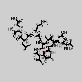 CC(C)C[C@H](NC(=O)[C@H](CCCCN)NC(=O)[C@H](CCC(=O)O)NC(=O)[C@H](CC(C)C)NC(=O)[C@@H](NC(=O)[C@H](C)NC(=O)[C@H](C)NC(=O)[C@H](CC(=O)O)NC(=O)[C@@H](N)C(C)C)C(C)C)C(=O)N[C@@H](CCC(=O)O)C(=O)O